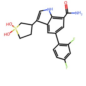 NC(=O)c1cc(-c2ccc(F)cc2F)cc2c(C3CCS(O)(O)C3)c[nH]c12